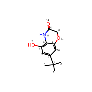 CC(C)(C)c1cc(O)c2c(c1)OCC(=O)N2